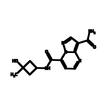 CC1(O)CC(NC(=O)c2ccnc3c(C(N)=O)cnn23)C1